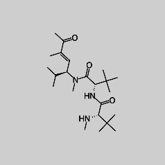 CN[C@H](C(=O)N[C@H](C(=O)N(C)[C@H](/C=C(\C)C(C)=O)C(C)C)C(C)(C)C)C(C)(C)C